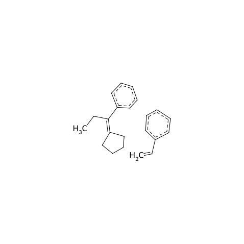 C=Cc1ccccc1.CCC(=C1CCCC1)c1ccccc1